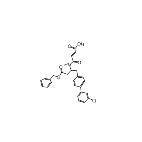 O=C(O)C=CC(=O)NC(CC(=O)OCc1ccccc1)Cc1ccc(-c2cccc(Cl)c2)cc1